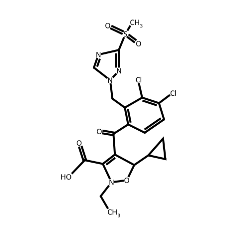 CCN1OC(C2CC2)C(C(=O)c2ccc(Cl)c(Cl)c2Cn2cnc(S(C)(=O)=O)n2)=C1C(=O)O